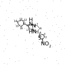 O=[N+]([O-])c1ccc(C2CCN3NC(c4ccccc4)=CC3N2)s1